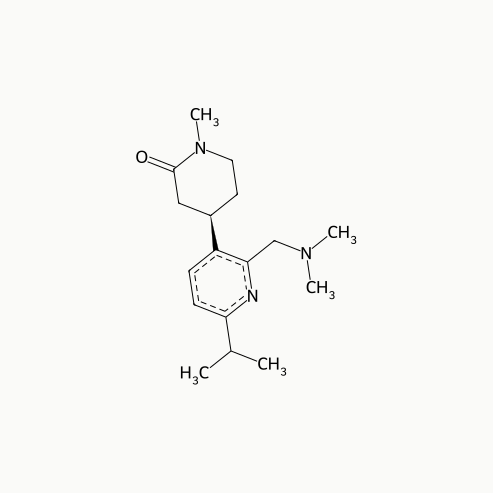 CC(C)c1ccc([C@@H]2CCN(C)C(=O)C2)c(CN(C)C)n1